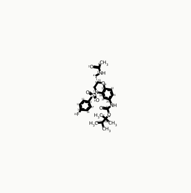 CC(=O)NC[C@H]1CN(S(=O)(=O)c2ccc(F)cc2)c2cc(NC(=O)OC(C)(C)C(C)C)ccc2O1